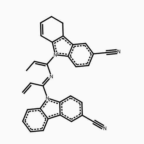 C=C/C(=N\C(=C/C)n1c2c(c3cc(C#N)ccc31)CCC=C2)n1c2ccccc2c2cc(C#N)ccc21